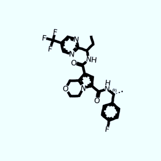 CCC(NC(=O)c1cc(C(=O)N[C@H](C)c2ccc(F)cc2)n2c1COCC2)c1ncc(C(F)(F)F)cn1